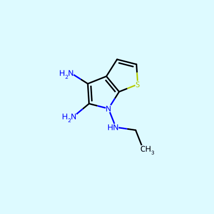 CCNn1c(N)c(N)c2ccsc21